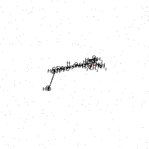 C=C(CC[C@H](NC(=O)CCCCCCCCCCCCCCCS(=O)(=O)O)C(=O)O)NCCOCCOCC(=O)NCCOCCOCC(=O)NCCOCCOCC(=O)NCCCC[C@H](CC(=O)CC(C)C)C(=O)C(C)[C@@H](CCCNC(=N)N)C(=O)N[C@@H](Cc1ccc(O)cc1)C(N)=O